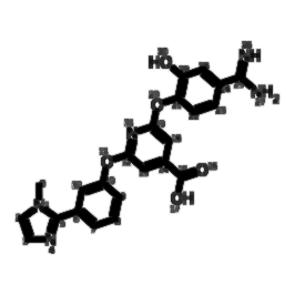 Cn1ccnc1-c1cccc(Oc2cc(C(=O)O)cc(Oc3ccc(C(=N)N)cc3O)n2)c1